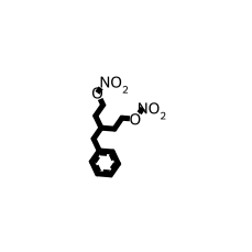 O=[N+]([O-])OCCC(CCO[N+](=O)[O-])Cc1ccccc1